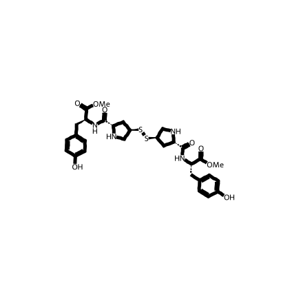 COC(=O)[C@H](Cc1ccc(O)cc1)NC(=O)[C@@H]1C[C@@H](SS[C@H]2CN[C@H](C(=O)N[C@@H](Cc3ccc(O)cc3)C(=O)OC)C2)CN1